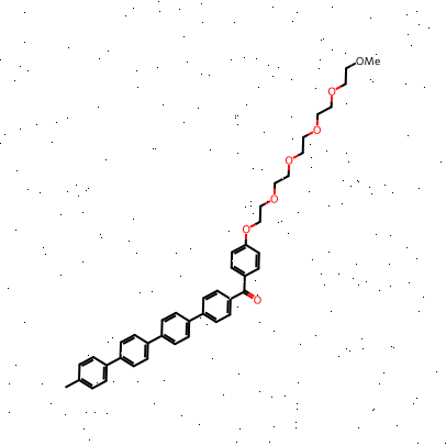 COCCOCCOCCOCCOCCOc1ccc(C(=O)c2ccc(-c3ccc(-c4ccc(-c5ccc(C)cc5)cc4)cc3)cc2)cc1